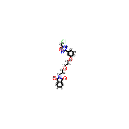 O=C1c2ccccc2C(=O)N1CCCOCCCOc1cccc(-c2noc(CCl)n2)c1